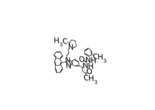 CC(=O)CC(NC(=O)Nc1ccccc1C)c1ccc2c(c1)nc(-c1c3ccccc3cc3ccccc13)n2CCCN1CCCCC1C